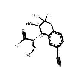 CON(C(C)=O)[C@H]1c2cc(C#N)ccc2OC(C)(C)[C@@H]1O